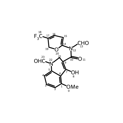 COc1cccc2c1C(O)=C(C(=O)N(C=O)C1=CC=C(C(F)(F)F)CO1)CN2C=O